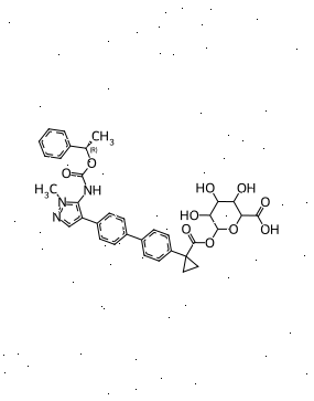 C[C@@H](OC(=O)Nc1c(-c2ccc(-c3ccc(C4(C(=O)OC5OC(C(=O)O)C(O)C(O)C5O)CC4)cc3)cc2)cnn1C)c1ccccc1